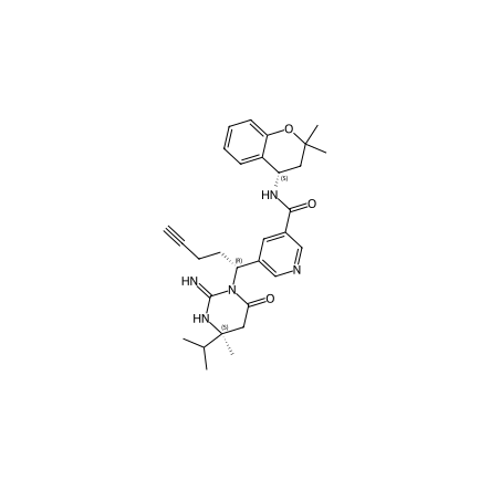 C#CCC[C@H](c1cncc(C(=O)N[C@H]2CC(C)(C)Oc3ccccc32)c1)N1C(=N)N[C@](C)(C(C)C)CC1=O